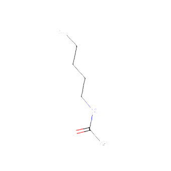 CCCC(=O)NCCCCC(C)=O